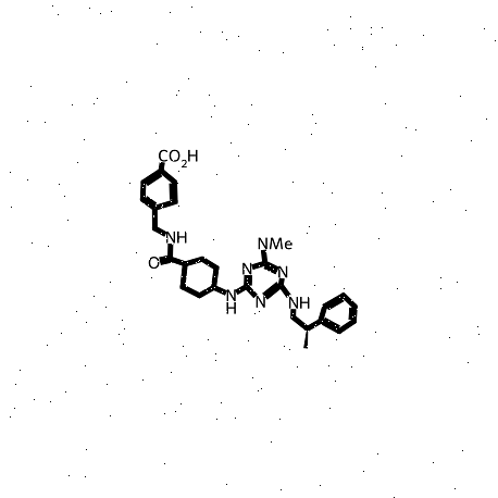 CNc1nc(NC[C@H](C)c2ccccc2)nc(NC2CCC(C(=O)NCc3ccc(C(=O)O)cc3)CC2)n1